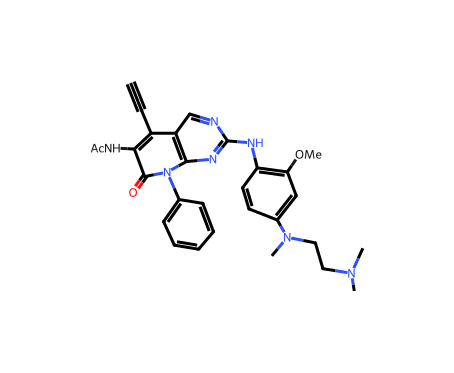 C#Cc1c(NC(C)=O)c(=O)n(-c2ccccc2)c2nc(Nc3ccc(N(C)CCN(C)C)cc3OC)ncc12